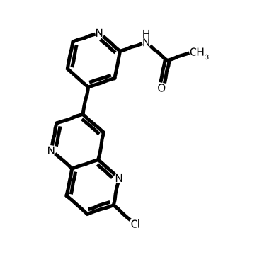 CC(=O)Nc1cc(-c2cnc3ccc(Cl)nc3c2)ccn1